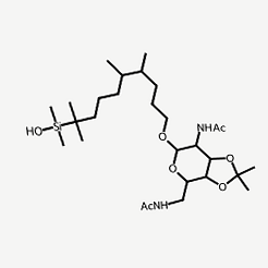 CC(=O)NCC1OC(OCCCC(C)C(C)CCCC(C)(C)[Si](C)(C)O)C(NC(C)=O)C2OC(C)(C)OC12